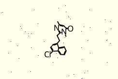 Cc1cc(=O)n(C)c(CCc2ccc(Cl)c3ccccc23)n1